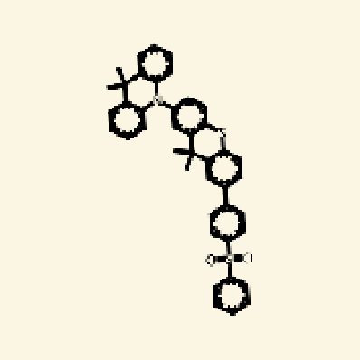 CC1(C)c2cc(-c3ccc(S(=O)(=O)c4ccccc4)cc3)ccc2Sc2ccc(N3c4ccccc4C(C)(C)c4ccccc43)cc21